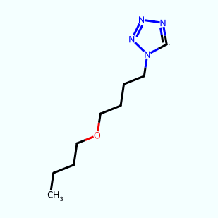 CCCCOCCCCn1[c]nnn1